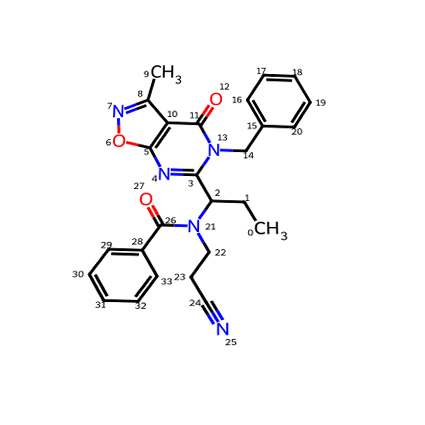 CCC(c1nc2onc(C)c2c(=O)n1Cc1ccccc1)N(CCC#N)C(=O)c1ccccc1